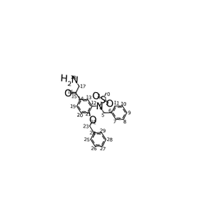 CS(=O)(=O)N(Cc1ccccc1)c1cc(C(=O)CN)ccc1OCc1ccccc1